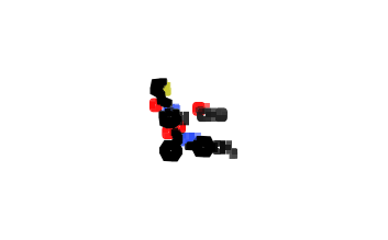 Cc1ccc(CNC(C(=O)O[C@H]2C[N+]3(CC(=O)c4cccs4)CCC2CC3)c2ccccc2)cc1.O=C[O-]